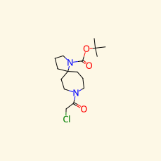 CC(C)(C)OC(=O)N1CCCC12CCCN(C(=O)CCl)CC2